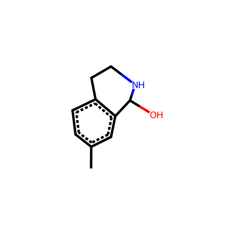 Cc1ccc2c(c1)C(O)NCC2